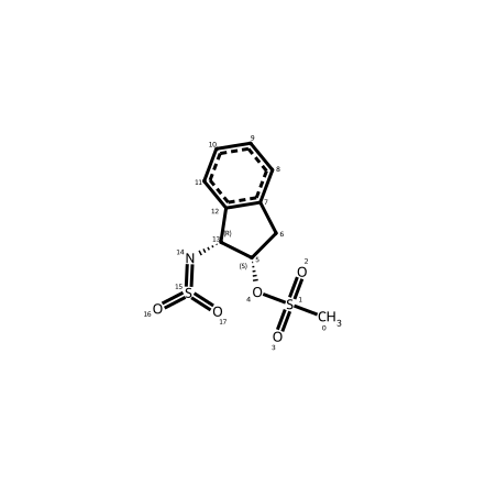 CS(=O)(=O)O[C@H]1Cc2ccccc2[C@H]1N=S(=O)=O